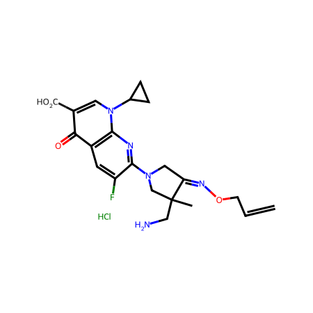 C=CCO/N=C1/CN(c2nc3c(cc2F)c(=O)c(C(=O)O)cn3C2CC2)CC1(C)CN.Cl